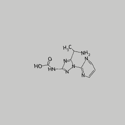 CC(N)c1nc(NC(=O)O)nn1-c1ncccn1